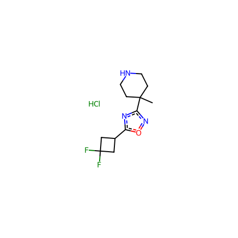 CC1(c2noc(C3CC(F)(F)C3)n2)CCNCC1.Cl